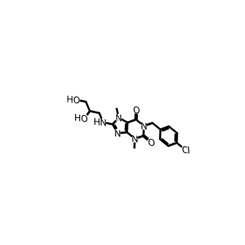 Cn1c(NCC(O)CO)nc2c1c(=O)n(Cc1ccc(Cl)cc1)c(=O)n2C